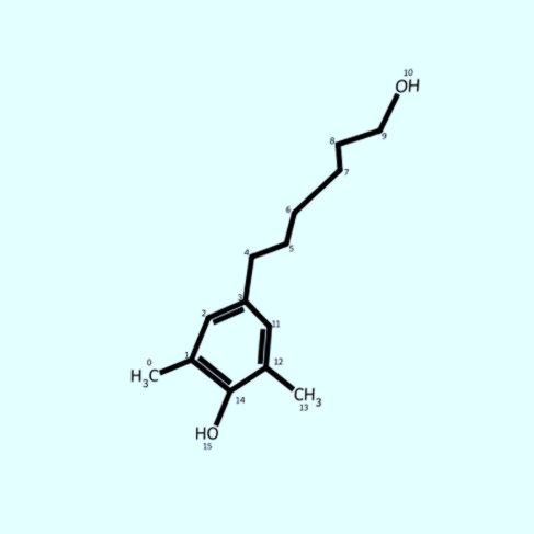 Cc1cc(CCCCCCO)cc(C)c1O